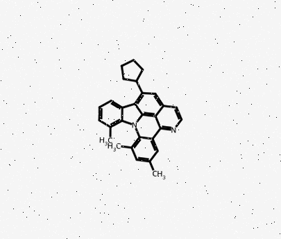 Cc1cc(C)c2c(c1)c1nccc3cc(C4CCCC4)c4c5cccc(C)c5n2c4c31